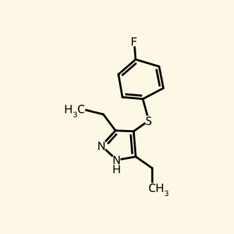 CCc1n[nH]c(CC)c1Sc1ccc(F)cc1